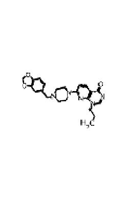 CCCn1cnc(=O)c2ccc(N3CCN(Cc4ccc5c(c4)OCO5)CC3)nc21